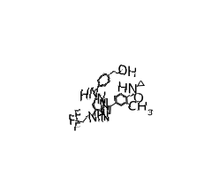 Cc1cc(-c2cnc3c(NCCC(F)(F)F)cc(Nc4ccc(CCO)cc4)nn23)ccc1C(=O)NC1CC1